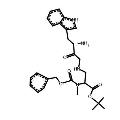 CN(C(=O)OCc1ccccc1)C(CNCC(=O)[C@@H](N)Cc1c[nH]c2ccccc12)C(=O)OC(C)(C)C